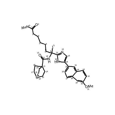 CNC(=O)CCCCCC(I)(NC(=O)C12CCN(CC1)CC2)c1ncc(-c2ccc3cc(OC)ccc3c2)[nH]1